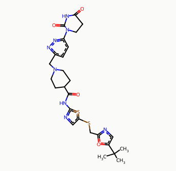 CC(C)(C)c1cnc(CSc2cnc(NC(=O)C3CCN(Cc4ccc(N5CCC(=O)NC5=O)nn4)CC3)s2)o1